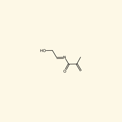 C=C(C)C(=O)N=CCO